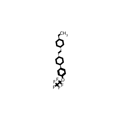 CC[C@H]1CC[C@H](CC[C@H]2CC[C@H](c3ccc(OC(F)(F)C(F)(F)F)cc3)CC2)CC1